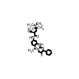 COc1ccc(NC(=O)/C(C#N)=C/C(C)(C)N(C)C)cc1Nc1ncc(F)c(-c2ccccc2)n1